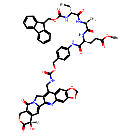 CC[C@@]1(O)C(=O)OCc2c1cc1n(c2=O)Cc2c-1nc1cc3c(cc1c2CNC(=O)OCc1ccc(NC(=O)[C@H](CCC(=O)OC(C)(C)C)NC(=O)[C@H](C)NC(=O)[C@@H](CC(C)C)NC(=O)OCC2c4ccccc4-c4ccccc42)cc1)OCO3